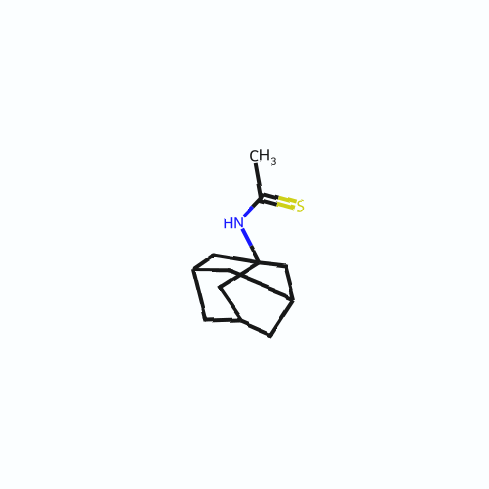 CC(=S)NC12CC3CC(CC(C3)C1)C2